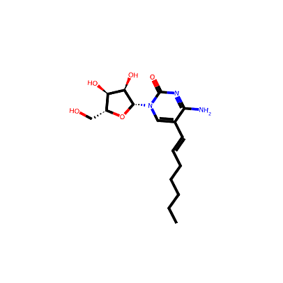 CCCCCC=Cc1cn([C@@H]2O[C@H](CO)[C@@H](O)[C@H]2O)c(=O)nc1N